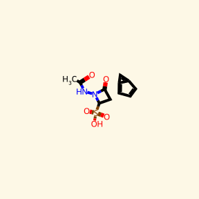 CC(=O)NN1C(=O)CC1S(=O)(=O)O.c1cc2cc-2c1